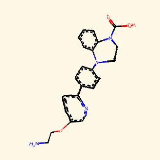 NCCOc1ccc(-c2ccc(N3CCN(C(=O)O)c4ccccc43)cc2)nc1